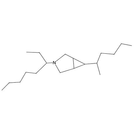 CCCCCC(CC)N1CC2C(C1)C2C(C)CCCC